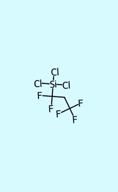 FC(F)(F)CC(F)(F)[Si](Cl)(Cl)Cl